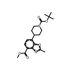 COC(=O)c1ccc(C2CCN(C(=O)OC(C)(C)C)CC2)c2oc(C)nc12